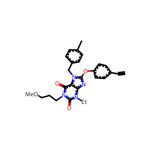 C#Cc1ccc(Oc2nc3c(c(=O)n(CCCOC)c(=O)n3CC)n2Cc2ccc(C)cc2)cc1